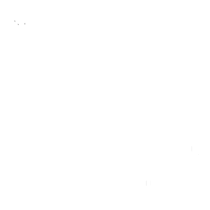 C=CCC(C)CC=CCCCCCCCCCCCCCCCC